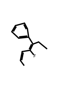 C/C=C\C(F)=C(\CC)c1ccccc1